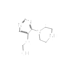 CCOc1cncnc1N1CCNCC1